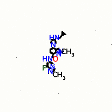 Cc1cn2cc(NC(=O)c3ccc(N4CC[C@@H](NCC5CC5)C4)c4cn(C)nc34)cc(F)c2n1